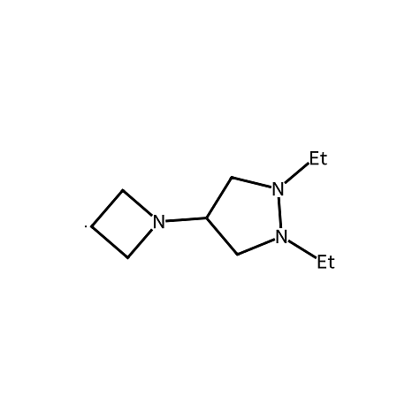 CCN1CC(N2C[CH]C2)CN1CC